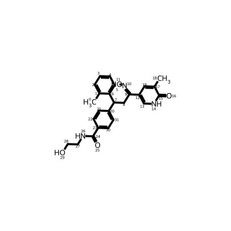 Cc1ccccc1C(C/C(=N\O)c1c[nH]c(=O)c(C)c1)c1ccc(C(=O)NCCO)cc1